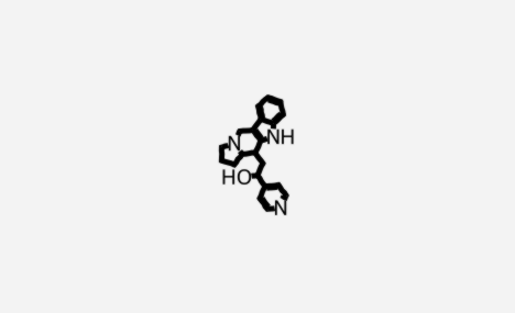 OC(CC1c2[nH]c3ccccc3c2CN2CCCC12)c1ccncc1